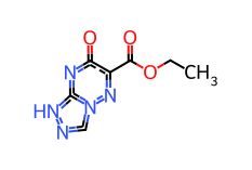 CCOC(=O)c1nn2cn[nH]c2nc1=O